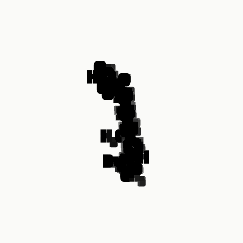 C[C@H]1CN(C2CCN(c3ccc4c(c3)C(=O)N(C3CCC(=O)NC3=O)C4=O)CC2)CCN1c1ccc(Nc2cc(Br)cn(C)c2=O)nc1